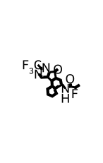 C=C(F)C(=O)Nc1cc2c(c3ccccc13)-c1cnc(C(F)(F)F)nc1C2=O